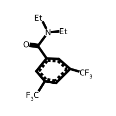 [CH2]CN(C[CH2])C(=O)c1cc(C(F)(F)F)cc(C(F)(F)F)c1